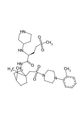 Cc1ccccc1N1CCN(S(=O)(=O)CC23CCC(CC2NC(=O)[C@H](CCS(C)(=O)=O)NC2CCNCC2)C3(C)C)CC1